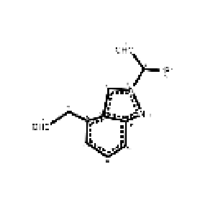 CCCC(C=O)n1cc2c(CC=O)cccc2n1